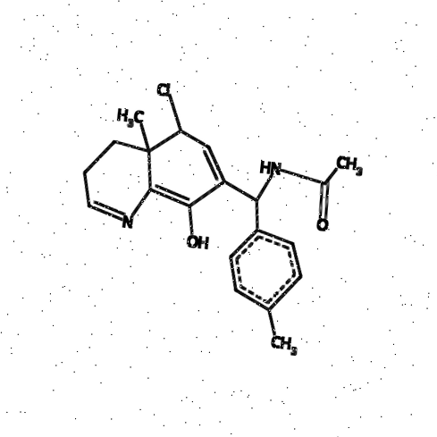 CC(=O)NC(C1=CC(Cl)C2(C)CCC=NC2=C1O)c1ccc(C)cc1